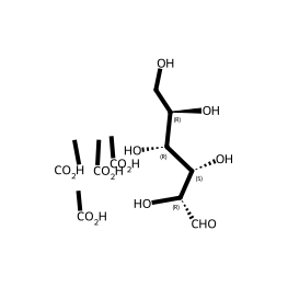 CC(=O)O.CC(=O)O.CC(=O)O.CC(=O)O.O=C[C@H](O)[C@@H](O)[C@H](O)[C@H](O)CO